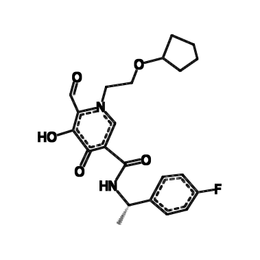 C[C@H](NC(=O)c1cn(CCOC2CCCC2)c(C=O)c(O)c1=O)c1ccc(F)cc1